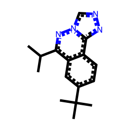 CC(C)c1nn2cnnc2c2ccc(C(C)(C)C)cc12